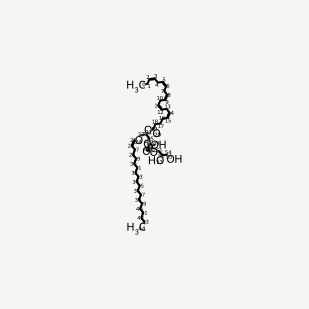 CC/C=C\C/C=C\C/C=C\C/C=C\C/C=C\CCCC(=O)O[C@H](CO/C=C\CCCCCCCCCCCCCCCCCC)COP(=O)(O)OC[C@@H](O)CO